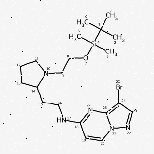 CC(C)(C)[Si](C)(C)OCCN1CCCC1CCNc1ccn2ncc(Br)c2n1